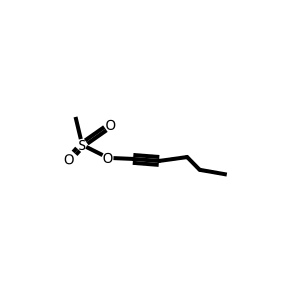 CCCC#COS(C)(=O)=O